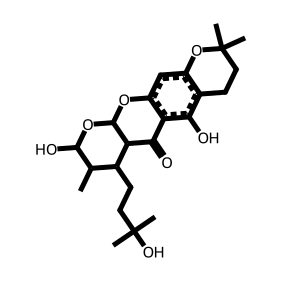 CC1C(O)OC2Oc3cc4c(c(O)c3C(=O)C2C1CCC(C)(C)O)CCC(C)(C)O4